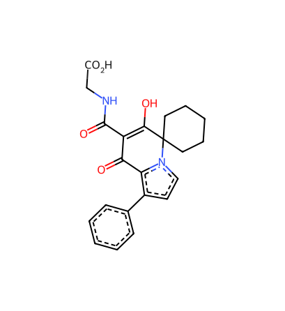 O=C(O)CNC(=O)C1=C(O)C2(CCCCC2)n2ccc(-c3ccccc3)c2C1=O